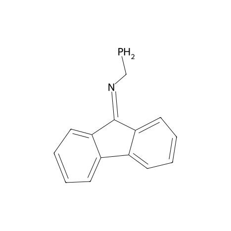 PCN=C1c2ccccc2-c2ccccc21